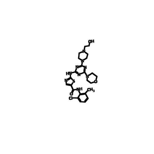 Cc1cccc(Cl)c1NC(=O)c1cnc(Nc2nc(N3CCOCC3)nc(N3CCN(CCO)CC3)n2)s1